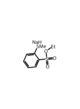 CCOS(=O)(=O)c1ccccc1SC.[NaH]